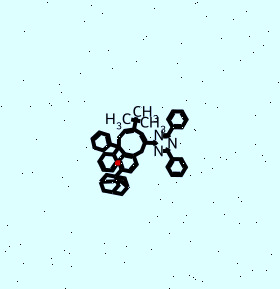 CC(C)(C)C1=C/CC(C2=CC=CCC2)(C2C=CC=CC2)c2cc(C34CC5CC(CC(C5)C3)C4)ccc2C/C(c2nc(-c3ccccc3)nc(-c3ccccc3)n2)=C\1